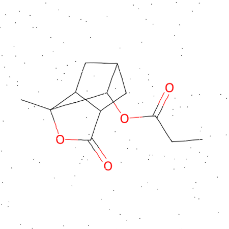 CCC(=O)OC1C2CC3C(=O)OC1(C)C3C2